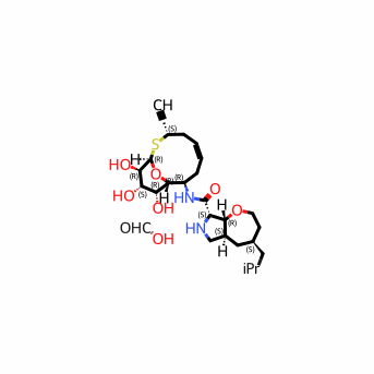 C#C[C@@H]1CC=CC[C@@H](NC(=O)[C@H]2NC[C@@H]3C[C@H](CC(C)C)CCO[C@H]32)[C@H]2O[C@H](S1)[C@H](O)[C@@H](O)[C@H]2O.O=CO